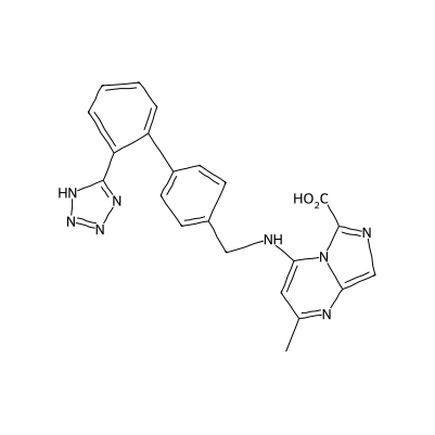 Cc1cc(NCc2ccc(-c3ccccc3-c3nnn[nH]3)cc2)n2c(C(=O)O)ncc2n1